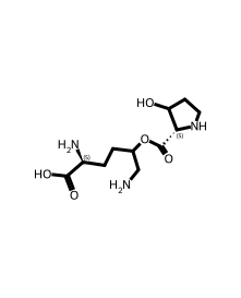 NCC(CC[C@H](N)C(=O)O)OC(=O)[C@H]1NCCC1O